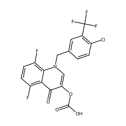 O=C(O)Oc1cn(Cc2ccc(Cl)c(C(F)(F)F)c2)c2c(F)ccc(F)c2c1=O